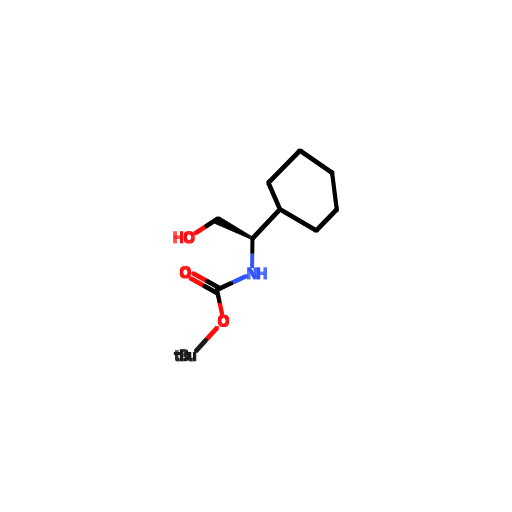 CC(C)(C)OC(=O)N[C@@H](CO)C1CCCCC1